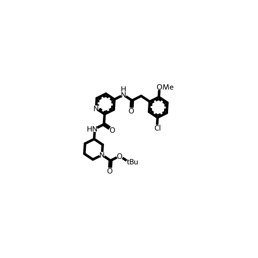 COc1ccc(Cl)cc1CC(=O)Nc1ccnc(C(=O)NC2CCCN(C(=O)OC(C)(C)C)C2)c1